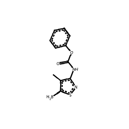 Bc1snc(NC(=O)Oc2ccccc2)c1C